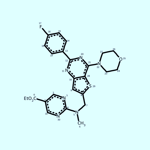 CCOC(=O)c1cnc(N(C)Cc2cc3nc(-c4ccc(F)cc4)nc(N4CCOCC4)c3s2)nc1